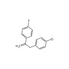 C=C(Cc1ccc(Cl)cc1)c1ccc(F)cc1